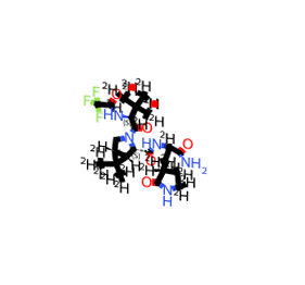 [2H]C([2H])([2H])C1(C([2H])([2H])[2H])[C@@H]2[C@@H](C(=O)N[C@]([2H])(C(N)=O)C([2H])([2H])[C@@]3([2H])C(=O)NC([2H])([2H])C3([2H])[2H])N(C(=O)[C@@H](NC(=O)C(F)(F)F)C(C([2H])([2H])[2H])(C([2H])([2H])[2H])C([2H])([2H])[2H])C[C@@H]21